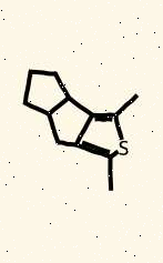 Cc1sc(C)c2c1CC1CCCC21